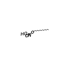 CCCCCCCCCCCCc1ccc(-c2cc3c(O)cccc3n2C)cc1